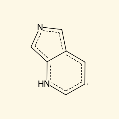 [c]1c[nH]c2cncc-2c1